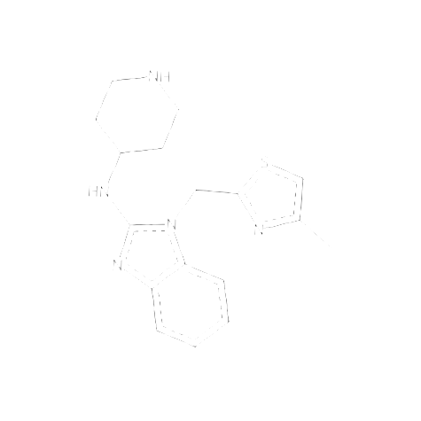 Cc1csc(Cn2c(NC3CCNCC3)nc3ccccc32)n1